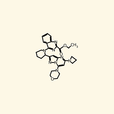 CCOC(=O)c1nc(N2CCCCC2c2cc3nc(N4CCC4)cc(N4CCOCC4)n3n2)c2ccccc2n1